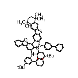 CC(C)(C)c1ccc2c(c1)B1c3c(cc4c(oc5ccccc54)c3-c3cc4c(cc3N1c1ccc(-c3ccccc3)cc1)sc1cc3c(cc14)C(C)(C)CCC3(C)C)N2c1ccc(C(C)(C)C)cc1-c1ccccc1